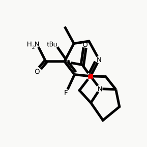 CC1CN=C(N2C3CCC2CN(C(=O)OC(C)(C)C)C3)C(F)=C1C(N)=O